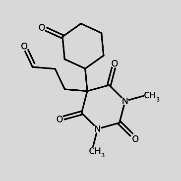 CN1C(=O)N(C)C(=O)C(CCC=O)(C2CCCC(=O)C2)C1=O